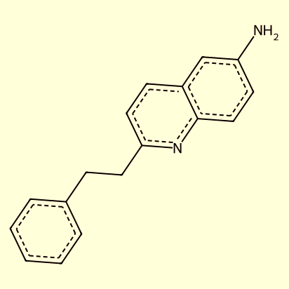 Nc1ccc2nc(CCc3ccccc3)ccc2c1